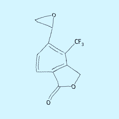 O=C1OCc2c1ccc(C1CO1)c2C(F)(F)F